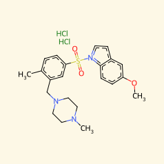 COc1ccc2c(ccn2S(=O)(=O)c2ccc(C)c(CN3CCN(C)CC3)c2)c1.Cl.Cl